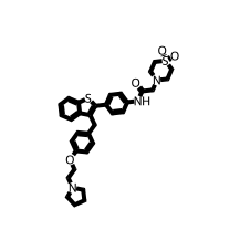 O=C(CN1CCS(=O)(=O)CC1)Nc1ccc(-c2sc3ccccc3c2Cc2ccc(OCCN3CCCC3)cc2)cc1